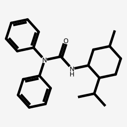 CC1CCC(C(C)C)C(NC(=O)N(c2ccccc2)c2ccccc2)C1